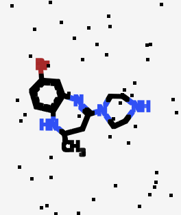 CC1CC(N2CCNCC2)=Nc2cc(Br)ccc2N1